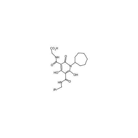 CC(C)CNC(=O)c1c(O)c(C(=O)NCC(=O)O)c(=O)n(C2CCCCCC2)c1O